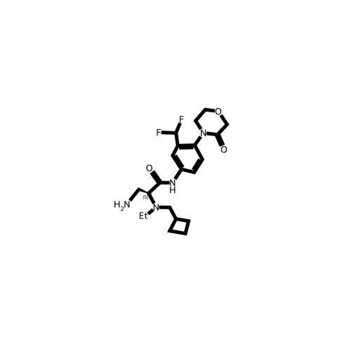 CCN(CC1CCC1)[C@@H](CN)C(=O)Nc1ccc(N2CCOCC2=O)c(C(F)F)c1